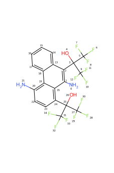 Nc1c(C(O)(C(F)(F)F)C(F)(F)F)c2ccccc2c2c(N)ccc(C(O)(C(F)(F)F)C(F)(F)F)c12